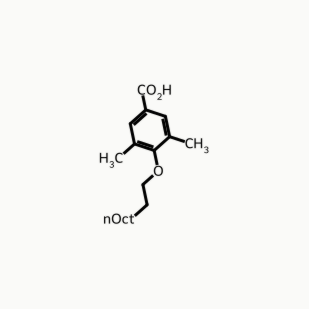 CCCCCCCCCCOc1c(C)cc(C(=O)O)cc1C